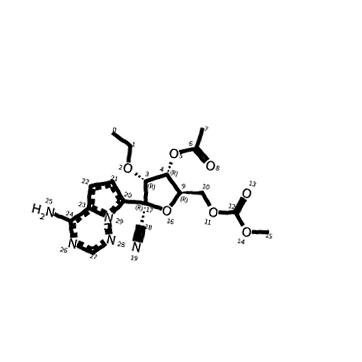 CCO[C@@H]1[C@H](OC(C)=O)[C@@H](COC(=O)OC)O[C@@]1(C#N)c1ccc2c(N)ncnn12